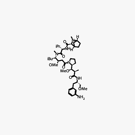 CC[C@H](C)[C@@H]([C@@H](CC(=O)N1CCC[C@H]1[C@H](OC)[C@@H](C)C(=O)N[C@H](COC)Cc1cccc(N)c1)OC)N(C)C(=O)[C@@H](NC(=O)[C@@H]1[C@H]2CC[C@H](C2)N1C)C(C)C